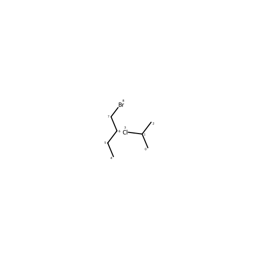 CC(C)Cl.CCCCBr